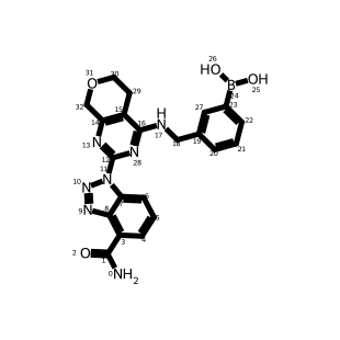 NC(=O)c1cccc2c1nnn2-c1nc2c(c(NCc3cccc(B(O)O)c3)n1)CCOC2